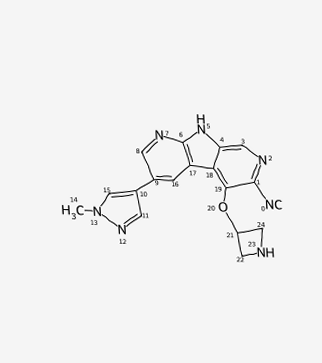 [C-]#[N+]c1ncc2[nH]c3ncc(-c4cnn(C)c4)cc3c2c1OC1CNC1